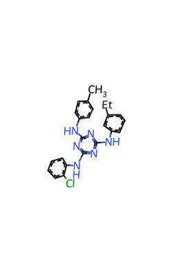 CCc1cccc(Nc2nc(Nc3ccc(C)cc3)nc(Nc3ccccc3Cl)n2)c1